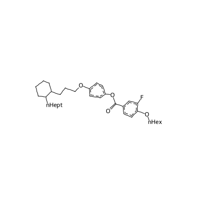 CCCCCCCC1CCCCC1CCCOc1ccc(OC(=O)c2ccc(OCCCCCC)c(F)c2)cc1